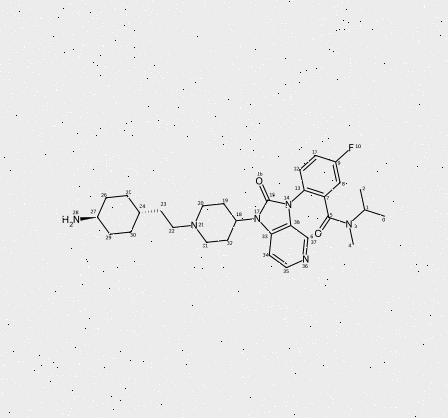 CC(C)N(C)C(=O)c1cc(F)ccc1-n1c(=O)n(C2CCN(CC[C@H]3CC[C@H](N)CC3)CC2)c2ccncc21